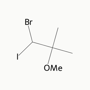 COC(C)(C)C(Br)I